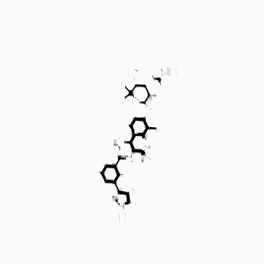 CO[C@@H]1[C@@H](OC(N)=O)[C@@H](O)[C@H](Oc2ccc3c(O)c(NC(=O)c4cccc(-c5cc[nH]n5)c4)c(=O)oc3c2C)OC1(C)C